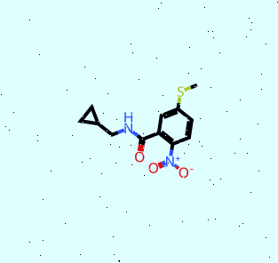 CSc1ccc([N+](=O)[O-])c(C(=O)NCC2CC2)c1